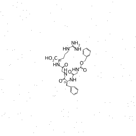 N=C(N)NCCC[C@H](NC(=O)CNC(=O)[C@H](Cc1ccccc1)NC(=O)CNC(=O)OCc1ccccc1)C(=O)O